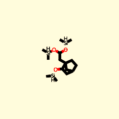 C[SiH](C)OC(CC12CCC(CC1O[SiH](C)C)C2)O[SiH](C)C